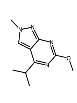 COc1nc(C(C)C)c2cn(C)nc2n1